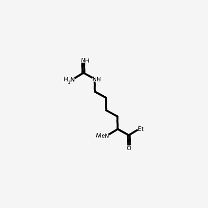 CCC(=O)C(CCCCNC(=N)N)NC